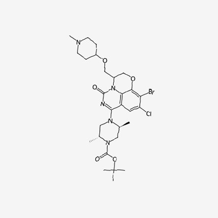 C[C@@H]1CN(c2nc(=O)n3c4c(c(Br)c(Cl)cc24)OCC3COC2CCN(C)CC2)[C@@H](C)CN1C(=O)OC(C)(C)C